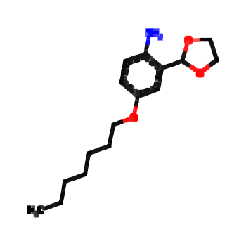 CCCCCCCOc1ccc(N)c(C2OCCO2)c1